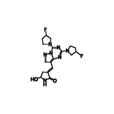 O=C1NC(O)C/C1=C\c1cnn2c(N3CCC(F)C3)nc(N3CCC(F)C3)nc12